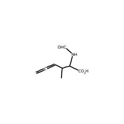 C=C=CC(C)C(NC=O)C(=O)O